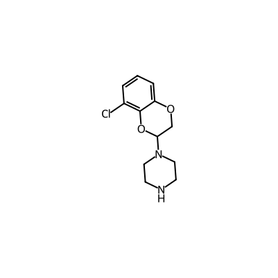 Clc1cccc2c1OC(N1CCNCC1)CO2